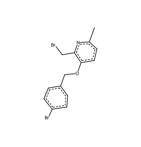 Cc1ccc(OCc2ccc(Br)cc2)c(CBr)n1